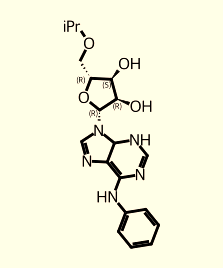 CC(C)OC[C@H]1O[C@@H](N2C=NC3=C(Nc4ccccc4)N=CNC32)[C@H](O)[C@@H]1O